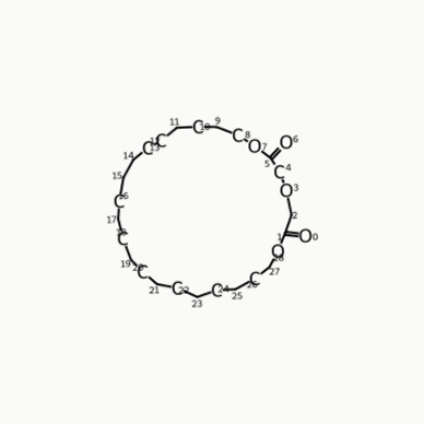 O=C1COCC(=O)OCCCCCCCCCCCCCCCCCCCCO1